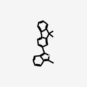 Cc1sc(-c2ccc3c(c2)C(C)(C)c2ccccc2-3)c2ccccc12